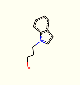 OCCCn1ccc2c[c]ccc21